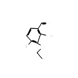 CCOc1c(F)ccc(C=O)c1O